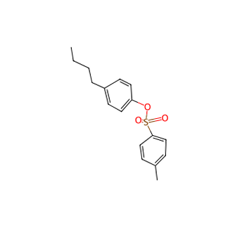 CCCCc1ccc(OS(=O)(=O)c2ccc(C)cc2)cc1